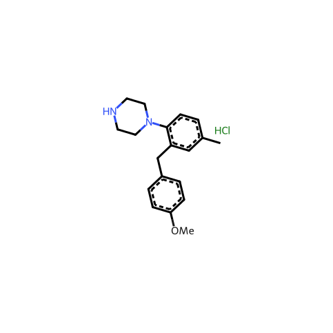 COc1ccc(Cc2cc(C)ccc2N2CCNCC2)cc1.Cl